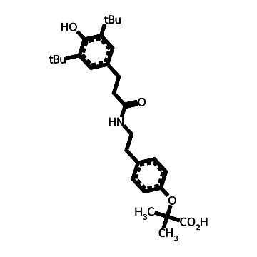 CC(C)(Oc1ccc(CCNC(=O)CCc2cc(C(C)(C)C)c(O)c(C(C)(C)C)c2)cc1)C(=O)O